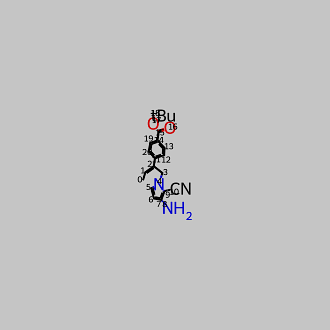 CC=C(Cn1ccc(N)c1C#N)c1ccc(C(=O)OC(C)(C)C)cc1